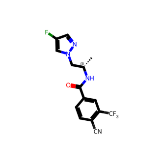 C[C@@H](Cn1cc(F)cn1)NC(=O)c1ccc(C#N)c(C(F)(F)F)c1